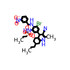 CCCC1CC(=O)C2=C(C1)NC(C)=C(C#N)C2c1cc(Br)c(NC(=O)c2cccc([N+](=O)[O-])c2)c(NS(=O)(=O)CCC)c1